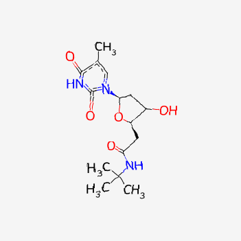 Cc1cn([C@H]2CC(O)[C@@H](CC(=O)NC(C)(C)C)O2)c(=O)[nH]c1=O